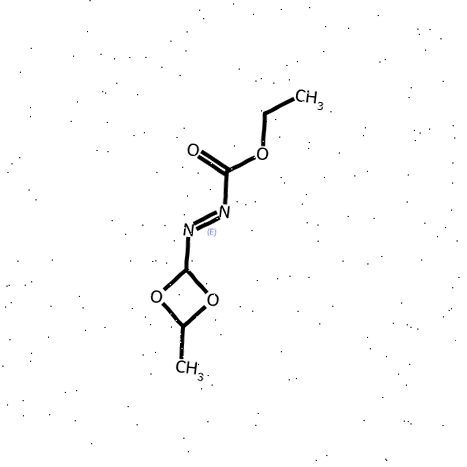 CCOC(=O)/N=N/C1OC(C)O1